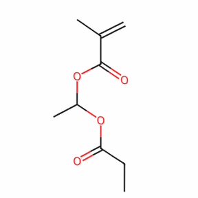 C=C(C)C(=O)OC(C)OC(=O)CC